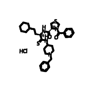 Cl.O=C(N[C@H](CCC1CCCCC1)C(=S)NC1CCN(Cc2ccccc2)CC1)[C@@H]1CSCN1C(=O)c1ccccc1